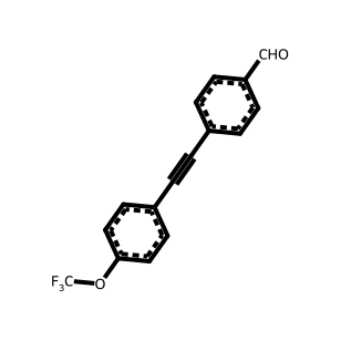 O=Cc1ccc(C#Cc2ccc(OC(F)(F)F)cc2)cc1